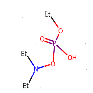 CCOP(=O)(O)ON(CC)CC